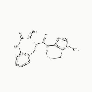 CC[C@H](C)[C@H]1C(=O)Nc2ccccc2CN1C(=O)N1CCCn2c(C)nnc21